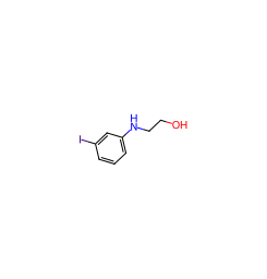 OCCNc1cccc(I)c1